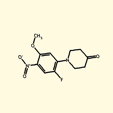 COc1cc(N2CCC(=O)CC2)c(F)cc1[N+](=O)[O-]